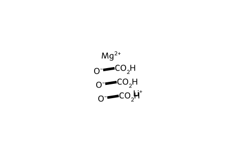 O=C([O-])O.O=C([O-])O.O=C([O-])O.[Li+].[Mg+2]